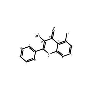 Cc1cccc2oc(-c3ccccc3)c(O)c(=O)c12